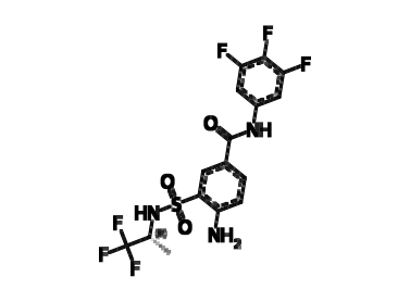 C[C@@H](NS(=O)(=O)c1cc(C(=O)Nc2cc(F)c(F)c(F)c2)ccc1N)C(F)(F)F